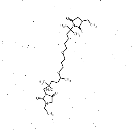 CCN1CC(=O)N(CC(C)(C)CCC(C)OCCCOCCCCC(C)(C)N2C(=O)CN(CC)C2=O)C1=O